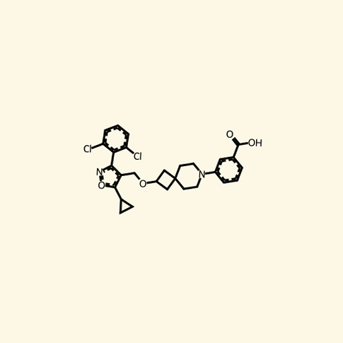 O=C(O)c1cccc(N2CCC3(CC2)CC(OCc2c(-c4c(Cl)cccc4Cl)noc2C2CC2)C3)c1